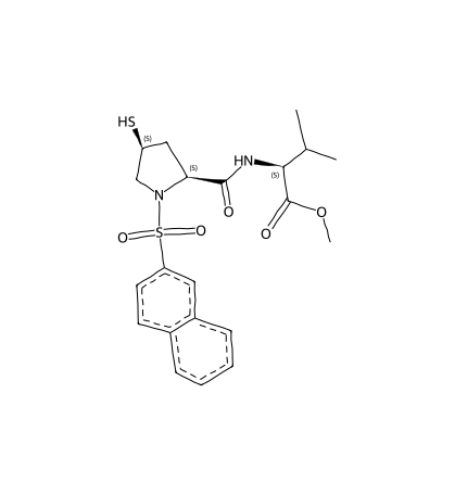 COC(=O)[C@@H](NC(=O)[C@@H]1C[C@H](S)CN1S(=O)(=O)c1ccc2ccccc2c1)C(C)C